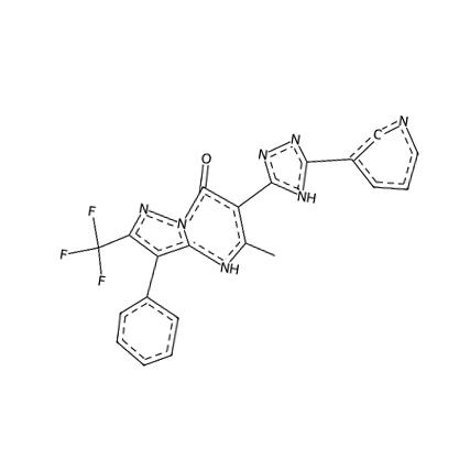 Cc1[nH]c2c(-c3ccccc3)c(C(F)(F)F)nn2c(=O)c1-c1nnc(-c2cccnc2)[nH]1